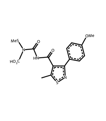 COc1ccc(-c2nsc(C)c2C(=O)NC(=O)N(SC)C(=O)O)cc1